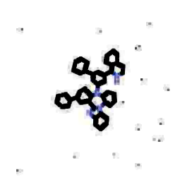 C1=c2ccccc2=C(c2cc(-c3ccccc3)cc(N3c4ccc(-c5ccccc5)cc4-c4nc5ccccc5n4-c4ccccc43)c2)NC1